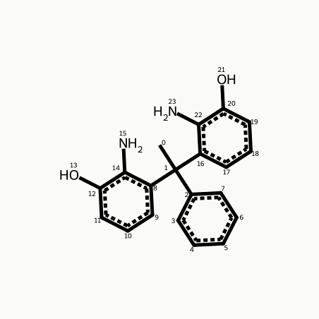 CC(c1ccccc1)(c1cccc(O)c1N)c1cccc(O)c1N